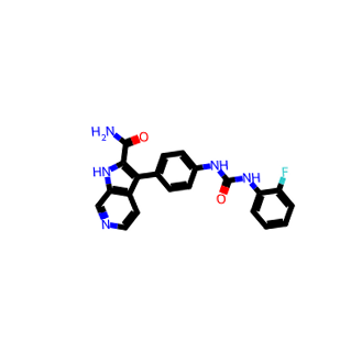 NC(=O)c1[nH]c2cnccc2c1-c1ccc(NC(=O)Nc2ccccc2F)cc1